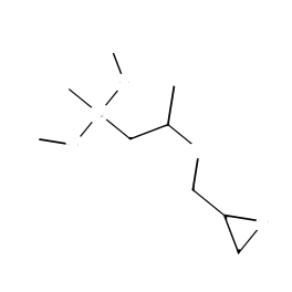 CCO[Si](C)(CC(C)OCC1CO1)OCC